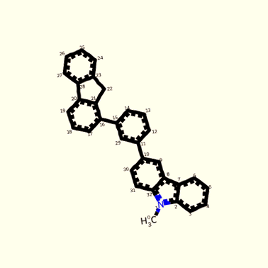 Cn1c2ccccc2c2cc(-c3cccc(-c4cccc5c4Cc4ccccc4-5)c3)ccc21